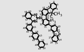 CC1(C)c2ccccc2-c2ccc3c(c21)c1cc(-c2ccc4sc5ccccc5c4c2)ccc1n3-c1nc(-c2cccc(-c3ccc(-c4ccccc4)cc3)c2)c2ccccc2n1